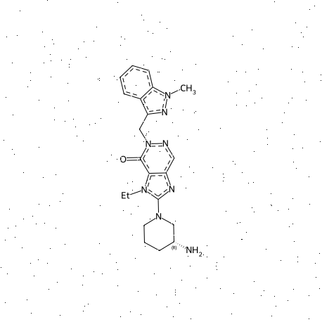 CCn1c(N2CCC[C@@H](N)C2)nc2cnn(Cc3nn(C)c4ccccc34)c(=O)c21